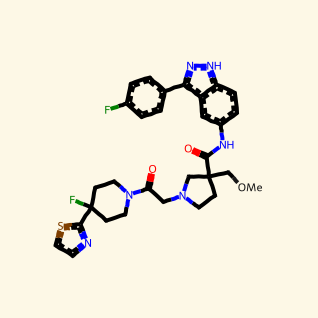 COCC1(C(=O)Nc2ccc3[nH]nc(-c4ccc(F)cc4)c3c2)CCN(CC(=O)N2CCC(F)(c3nccs3)CC2)C1